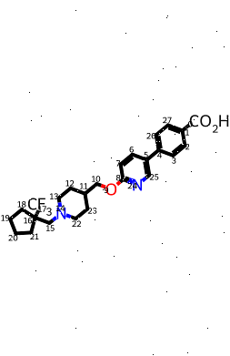 O=C(O)c1ccc(-c2ccc(OCC3CCN(CC4(C(F)(F)F)CCCC4)CC3)nc2)cc1